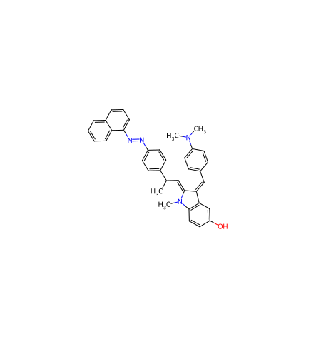 CC(/C=c1/c(=C\c2ccc(N(C)C)cc2)c2cc(O)ccc2n1C)c1ccc(/N=N/c2cccc3ccccc23)cc1